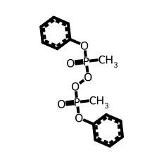 CP(=O)(OOP(C)(=O)Oc1ccccc1)Oc1ccccc1